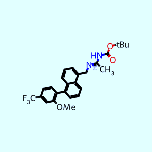 COc1cc(C(F)(F)F)ccc1-c1cccc2c(C/N=C(\C)NC(=O)OC(C)(C)C)cccc12